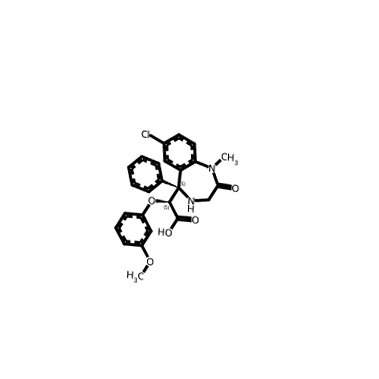 COc1cccc(O[C@H](C(=O)O)[C@@]2(c3ccccc3)NCC(=O)N(C)c3ccc(Cl)cc32)c1